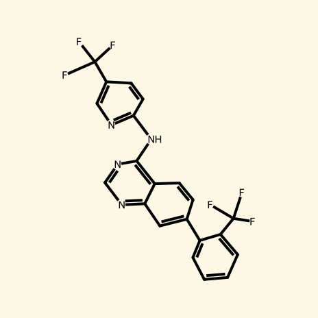 FC(F)(F)c1ccc(Nc2ncnc3cc(-c4ccccc4C(F)(F)F)ccc23)nc1